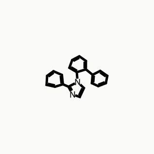 c1ccc(-c2ccccc2-n2ccnc2-c2ccccc2)cc1